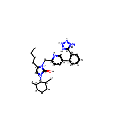 CCCCc1cn(C2C(C)CCCC2C)c(=O)n1Cc1ccc(-c2ccccc2-c2nnn[nH]2)cn1